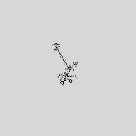 CC(C)(C)C(c1cc(-c2cc(F)ccc2F)cn1Cc1ccccc1)N(CCCN)C(=O)CSCC(NC(=O)CCOCCOCCOCCOCCNC(=O)CN1C(=O)C=CC1=O)C(=O)NCCC(=O)O